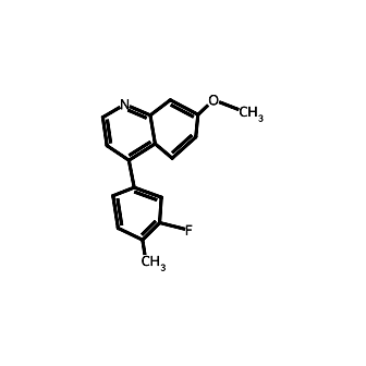 COc1ccc2c(-c3ccc(C)c(F)c3)ccnc2c1